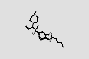 C=CC(N1CCN(C)CC1)S(=O)(=O)c1ccc2nc(CCCC)oc2c1